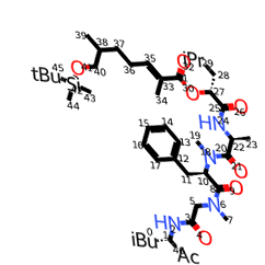 CCC(C)[C@H](NC(=O)CN(C)C(=O)[C@@H](Cc1ccccc1)N(C)C(=O)[C@H](C)NC(=O)[C@@H](CC(C)C)OC(=O)/C(C)=C/CCC(C)CO[Si](C)(C)C(C)(C)C)C(C)=O